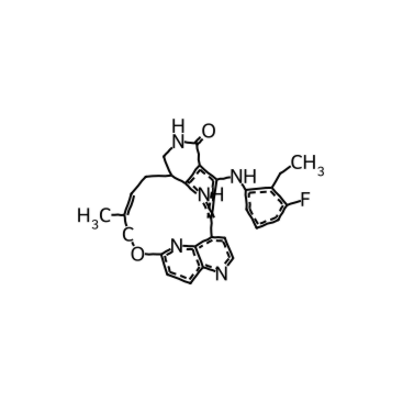 CCc1c(F)cccc1Nc1c2[nH]c3c1C(=O)NCC3C/C=C(/C)COc1ccc3nccc-2c3n1